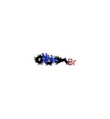 BrCCC1C2CN(c3ccn4c(n3)nc3ccccc34)CC12